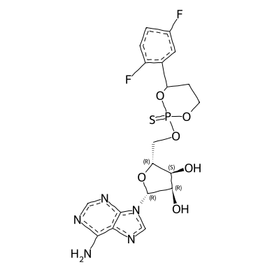 Nc1ncnc2c1ncn2[C@@H]1O[C@H](COP2(=S)OCCC(c3cc(F)ccc3F)O2)[C@@H](O)[C@H]1O